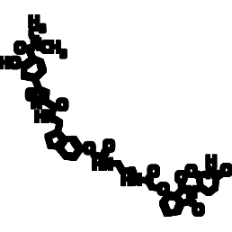 CN(C)C(=O)c1ccc(-c2cc(C(=O)NCC3CCc4ccc(OCC(=O)NCCCNC(=O)COc5cccc6c5C(=O)N(C5CCC(=O)NC5=O)C6=O)cc43)no2)cc1O